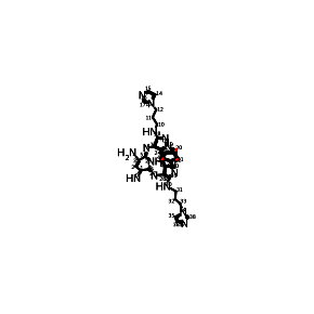 N=C1C=C(N)/C(=N/c2c(NCCCn3ccnc3)nn3ccccc23)N/C1=N\c1c(NCCCn2ccnc2)nn2ccccc12